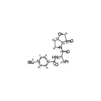 CCCC(NC(=O)c1ccc(C(C)(C)C)cc1)C(=O)N1CCC2OCC(=O)C21